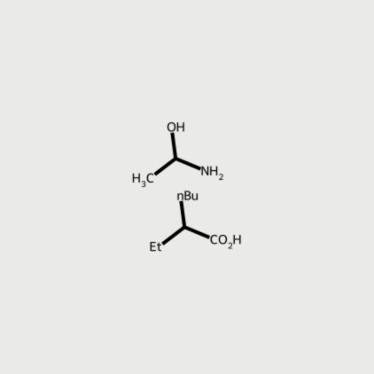 CC(N)O.CCCCC(CC)C(=O)O